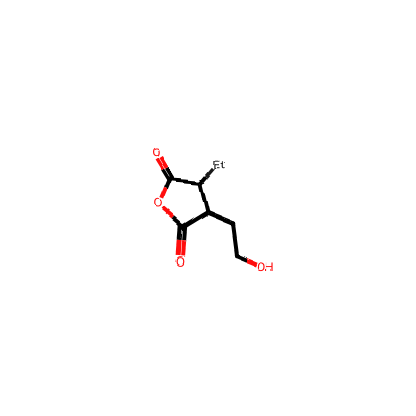 CCC1C(=O)OC(=O)C1CCO